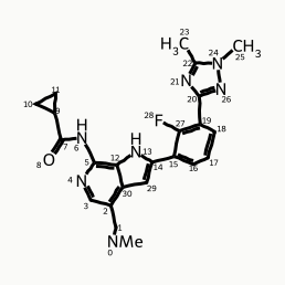 CNCc1cnc(NC(=O)C2CC2)c2[nH]c(-c3cccc(-c4nc(C)n(C)n4)c3F)cc12